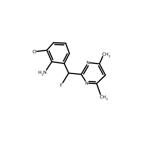 Cc1cc(C)nc(C(F)c2cccc(Cl)c2N)n1